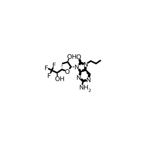 CCCn1c(=O)n([C@@H]2O[C@H]([C@@H](O)C(F)(F)F)C[C@H]2O)c2nc(N)ncc21